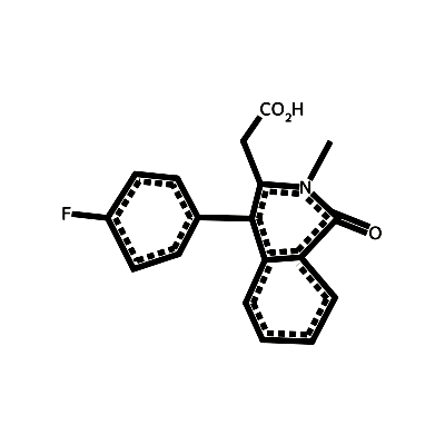 Cn1c(CC(=O)O)c(-c2ccc(F)cc2)c2ccccc2c1=O